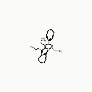 CCc1c(-c2ccccc2)nc(CC)n2c1c(CCCl)c1ccccc12